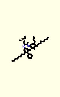 CCCCCCCCc1cc(N=C(CC)C(C)=Nc2cc(C)c(CCCCCCCC)c(CCCC)c2)cc(C)c1-c1ccccc1.C[CH2][Ni][CH2]C